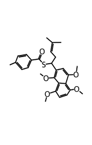 COc1ccc(OC)c2c(OC)c(C(CC=C(C)C)SC(=O)c3ccc(C)cc3)cc(OC)c12